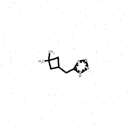 CC1(C)CC(Cc2nnn[nH]2)C1